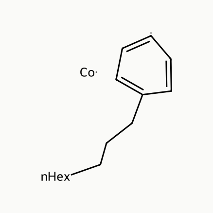 CCCCCCCCCc1cc[c]cc1.[Co]